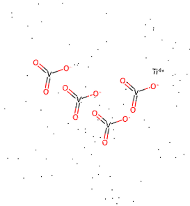 [O]=[V](=[O])[O-].[O]=[V](=[O])[O-].[O]=[V](=[O])[O-].[O]=[V](=[O])[O-].[Ti+4]